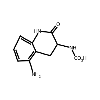 Nc1cccc2c1CC(NC(=O)O)C(=O)N2